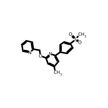 Cc1cc(OCc2ccccn2)nc(-c2ccc(S(C)(=O)=O)cc2)c1